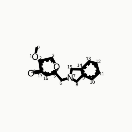 COc1coc(CN2Cc3ccccc3C2)cc1=O